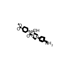 COC(=O)[C@H]1CC[C@H](NC(=O)N2CCN(c3ccc(CN)cc3)CC2)CC1.Cl